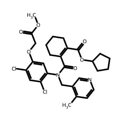 COC(=O)COc1cc(N(Cc2cnccc2C)C(=O)C2=C(C(=O)OC3CCCC3)CCCC2)c(Cl)cc1Cl